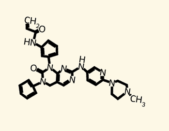 C=CC(=O)Nc1cccc(N2C(=O)N(c3ccccc3)Cc3cnc(Nc4ccc(N5CCN(C)CC5)nc4)nc32)c1